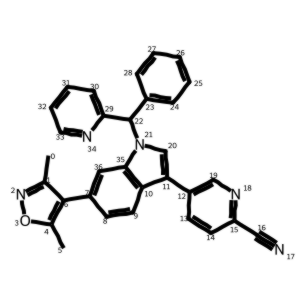 Cc1noc(C)c1-c1ccc2c(-c3ccc(C#N)nc3)cn(C(c3ccccc3)c3ccccn3)c2c1